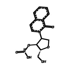 O=c1c2ccccc2ccn1C1CO[C@H](CO)C1O[PH](=O)O